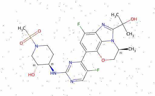 C[C@H]1COc2c(-c3nc(N[C@@H]4CCN(S(C)(=O)=O)C[C@H]4O)ncc3F)cc(F)c3nc(C(C)(C)O)n1c23